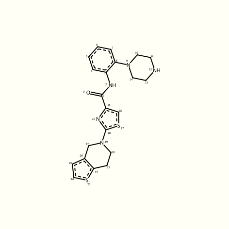 O=C(Nc1ccccc1N1CCNCC1)c1csc(N2CCc3sccc3C2)n1